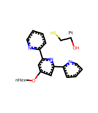 CCCCCCOc1cc(-c2ccccn2)nc(-c2ccccn2)c1.OCCS.[Pt]